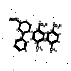 CN[C@H]1CCCN(c2cccnc2)C1.Cc1ccc(S(=O)(=O)O)cc1.Cc1ccc(S(=O)(=O)O)cc1